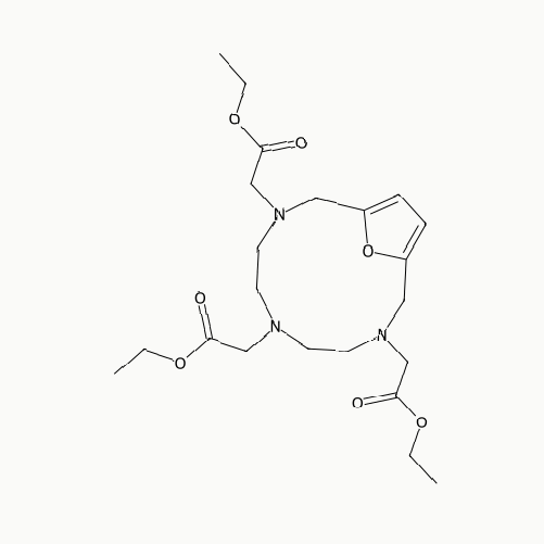 CCOC(=O)CN1CCN(CC(=O)OCC)Cc2ccc(o2)CN(CC(=O)OCC)CC1